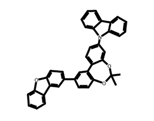 CC1(C)Oc2cc(-n3c4ccccc4c4ccccc43)ccc2-c2cc(-c3ccc4oc5ccccc5c4c3)ccc2O1